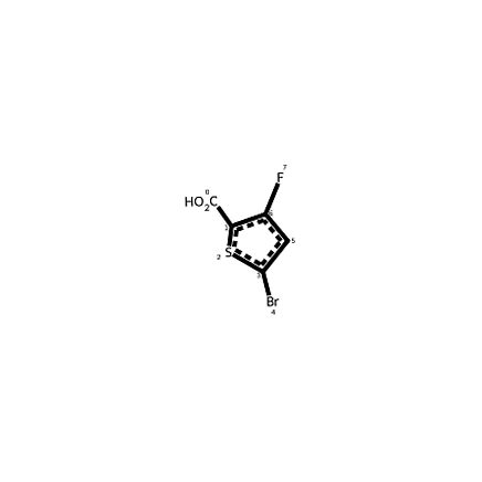 O=C(O)c1sc(Br)cc1F